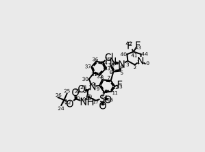 CN1CC(n2cc(-c3cc4c(cc3F)S(=O)(=O)C[C@H](NC(=O)OC(C)(C)C)C(=O)N4Cc3ccc(Cl)cc3)cn2)CC(F)(F)C1